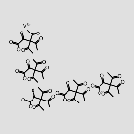 CC(=O)C(C(C)=O)(C(C)=O)C(=O)C(=O)[O-].CC(=O)C(C(C)=O)(C(C)=O)C(=O)C(=O)[O-].CC(=O)C(C(C)=O)(C(C)=O)C(=O)C(=O)[O-].CC(=O)C(C(C)=O)(C(C)=O)C(=O)C(=O)[O-].CC(=O)C(C(C)=O)(C(C)=O)C(=O)C(=O)[O-].[V+5]